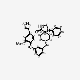 CC=Cc1ccc(Oc2cccc(CN3CCC4(CC3)C(=O)NCN4c3ccccc3)c2)c(OC)c1